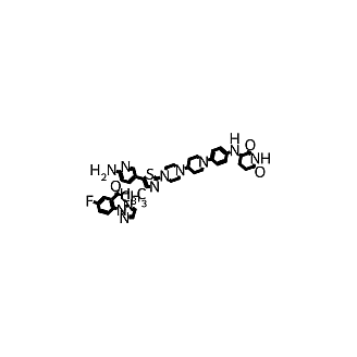 Cc1nc(N2CCN(C3CCN(c4ccc(NC5CCC(=O)NC5=O)cc4)CC3)CC2)sc1-c1cnc(N)c(O[C@@H](C)c2cc(F)ccc2-n2nccn2)c1